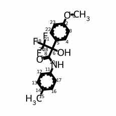 COc1ccc(C(O)(C(=O)Nc2ccc(C)cc2)C(F)(F)F)cc1